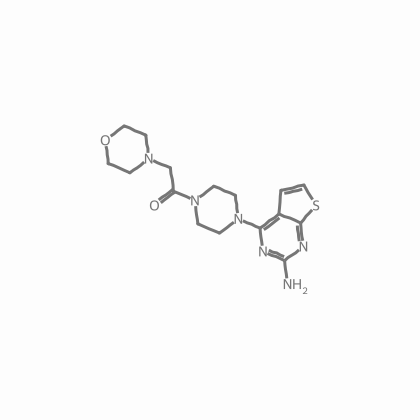 Nc1nc(N2CCN(C(=O)CN3CCOCC3)CC2)c2ccsc2n1